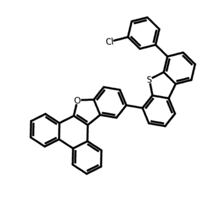 Clc1cccc(-c2cccc3c2sc2c(-c4ccc5oc6c7ccccc7c7ccccc7c6c5c4)cccc23)c1